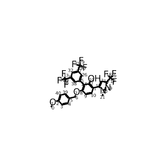 COc1ccc(COc2ccc(-c3cc(C(F)(F)F)nn3C)c(O)c2-c2cc(C(F)(F)F)cc(C(F)(F)F)c2)cc1